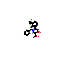 CC(=O)c1cn(Cc2ccccc2)c(-c2cccc(C(F)(F)F)c2Cl)cc1=O